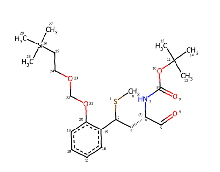 CSC(C[C@@H](C=O)NC(=O)OC(C)(C)C)c1ccccc1OCOCC[Si](C)(C)C